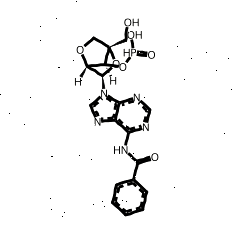 O=C(Nc1ncnc2c1ncn2[C@@H]1O[C@@]2(CO)CO[C@@H]1[C@@H]2O[PH](=O)O)c1ccccc1